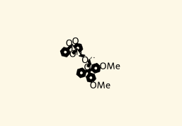 [CH2][C@H](COC(c1ccccc1)(c1ccc(OC)cc1)c1ccc(OC)cc1)OCCn1ccc(=O)n(C(=O)c2ccccc2)c1=O